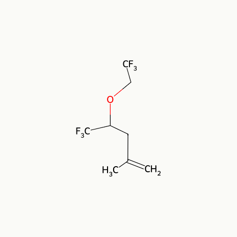 C=C(C)CC(OCC(F)(F)F)C(F)(F)F